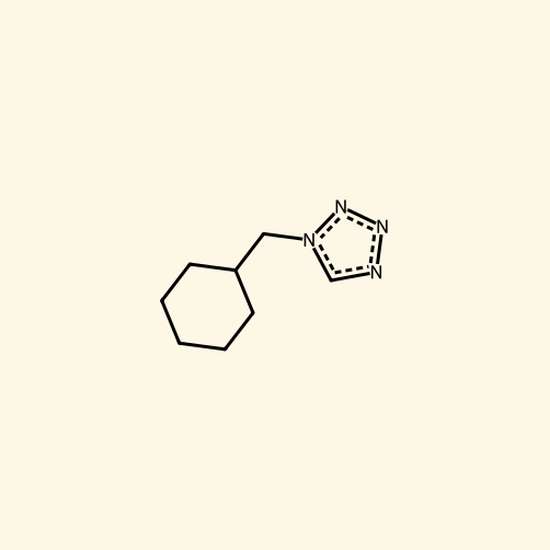 c1nnnn1CC1CCCCC1